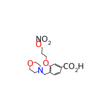 O=C(O)c1ccc(CN2CCOCC2)c(OCCCO[N+](=O)[O-])c1